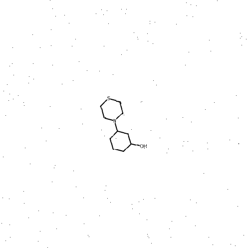 OC1CCCC(N2CCSCC2)C1